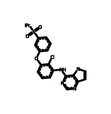 CC(C)S(=O)(=O)c1cccc(Oc2cccc(Nc3ncnc4c3[N]C=C4)c2Cl)c1